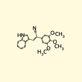 COc1cc(/C(C#N)=C/c2c[nH]c3ccccc23)cc(OC)c1OC